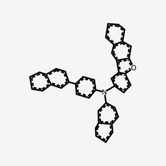 c1ccc2cc(-c3ccc(N(c4ccc5ccccc5c4)c4ccc5oc6cc7ccccc7cc6c5c4)cc3)ccc2c1